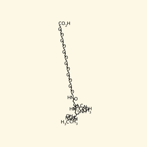 C/C(=N/O)C(C)(C)NCCC(CCNC(=O)CCCC(=O)NCCOCCOCCOCCOCCOCCOCCOCCOCCOCCOCCOCCOCCC(=O)O)CCNC(C)(C)/C(C)=N\O